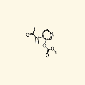 O=C(I)Nc1ccncc1OC(=O)OI